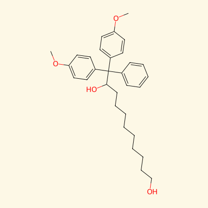 COc1ccc(C(c2ccccc2)(c2ccc(OC)cc2)C(O)CCCCCCCCCO)cc1